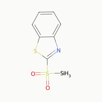 O=S(=O)([SiH3])c1nc2ccccc2s1